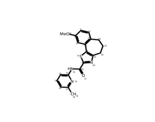 COc1ccc2c(c1)-c1sc(C(=O)Nc3cccc(C)n3)nc1CCC2